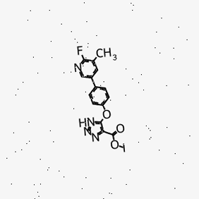 Cc1cc(-c2ccc(Oc3[nH]nnc3C(=O)OI)cc2)cnc1F